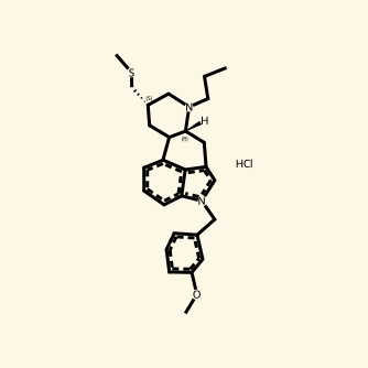 CCCN1C[C@@H](CSC)CC2c3cccc4c3c(cn4Cc3cccc(OC)c3)C[C@H]21.Cl